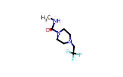 CNC(=O)N1CCN(CC(F)(F)F)CC1